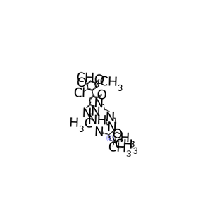 CNc1ncc2cc(-c3cc(OC)cc(OC)c3Cl)c(=O)n(CCCN3CCN(C(=O)/C(C#N)=C\C(C)(C)C)CC3)c2n1